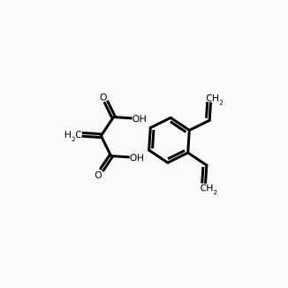 C=C(C(=O)O)C(=O)O.C=Cc1ccccc1C=C